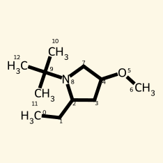 CCC1CC(OC)CN1C(C)(C)C